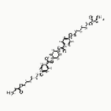 C=CC(=O)OCCCCCCOc1ccc(C(=O)OC2CCC(OC(=O)c3ccc(OCCCCCCOC(=O)C=C)cc3)CC2)cc1